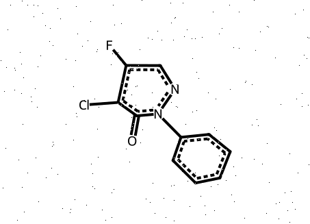 O=c1c(Cl)c(F)cnn1-c1ccccc1